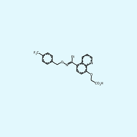 CC/C(=N\OCc1ccc(C(F)(F)F)cc1)c1ccc(OCC(=O)O)c2ncccc12